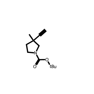 C#CC1(C)CCN(C(=O)OC(C)(C)C)C1